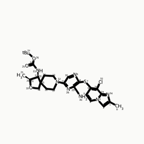 Cc1cn2ccc(Sc3ncc(N4CCC5(CC4)CO[C@@H](C)[C@H]5NC(=O)OC(C)(C)C)nc3N)c(Cl)c2n1